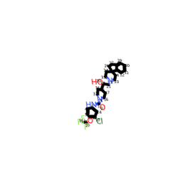 O=C(Nc1ccc(OC(F)(F)F)c(Cl)c1)N1CCC(C(O)CN2CCC3(CCc4ccccc43)CC2)CC1